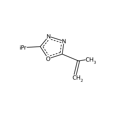 C=C(C)c1nnc(C(C)C)o1